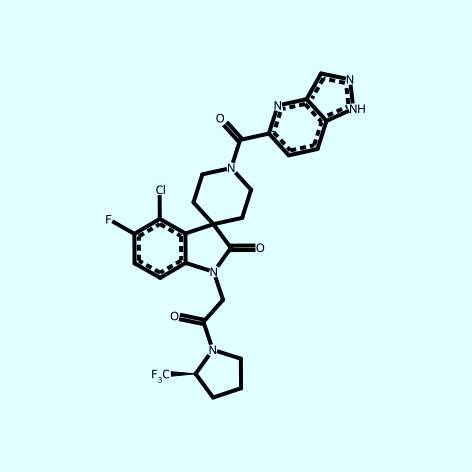 O=C(c1ccc2[nH]ncc2n1)N1CCC2(CC1)C(=O)N(CC(=O)N1CCC[C@H]1C(F)(F)F)c1ccc(F)c(Cl)c12